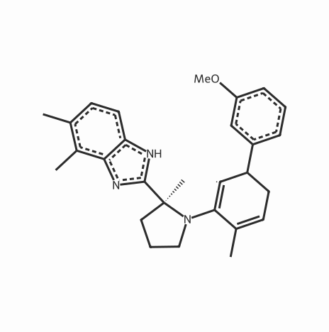 COc1cccc(C2[C]=C(N3CCC[C@@]3(C)c3nc4c(C)c(C)ccc4[nH]3)C(C)=CC2)c1